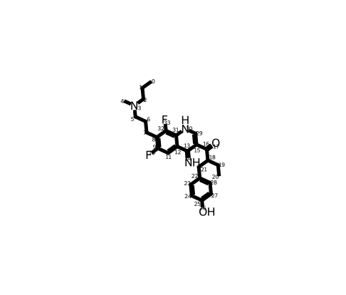 CCCN(C)CCCc1c(F)cc2c(=N)c(C(=O)C(CC)Cc3ccc(O)cc3)c[nH]c2c1F